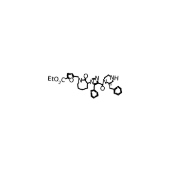 CCOC(=O)c1ccc(CN2CCCCC(n3cnc(C(=O)N4CCNC[C@H]4Cc4ccccc4)c3-c3ccccc3)C2=O)o1